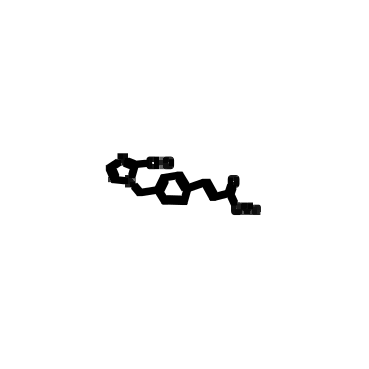 COC(=O)C=Cc1ccc(Cn2[c]cnc2C=O)cc1